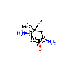 CO[C@@H]1C[C@]2(N)CC[C@@]1(N)CC2=O